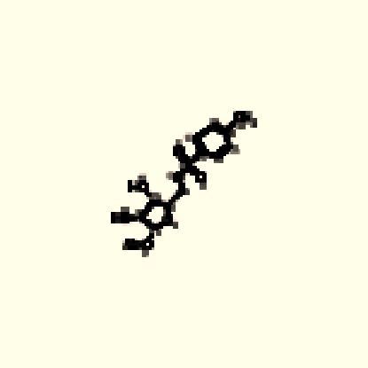 CO[C@H]1O[C@H](COS(=O)(=O)c2ccc(C)cc2)[C@@H](O)[C@@H]1O